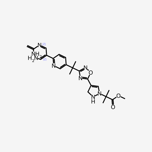 C=C(N)/N=C\C(=C/N)c1ccc(C(C)(C)c2noc(C3=CN(C(C)(C)C(=O)OC)NC3)n2)cn1